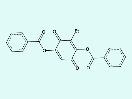 CCC1=C(OC(=O)c2ccccc2)C(=O)C=C(OC(=O)c2ccccc2)C1=O